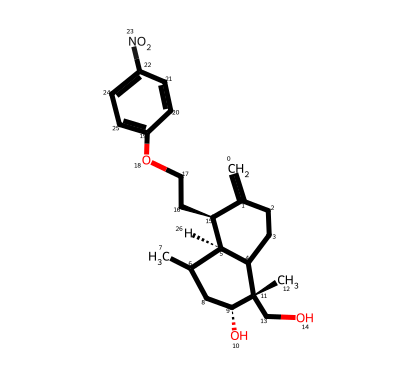 C=C1CCC2[C@@H](C(C)C[C@@H](O)[C@@]2(C)CO)[C@H]1CCOc1ccc([N+](=O)[O-])cc1